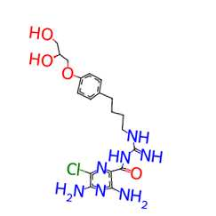 N=C(NCCCCc1ccc(OC[C@@H](O)CO)cc1)NC(=O)c1nc(Cl)c(N)nc1N